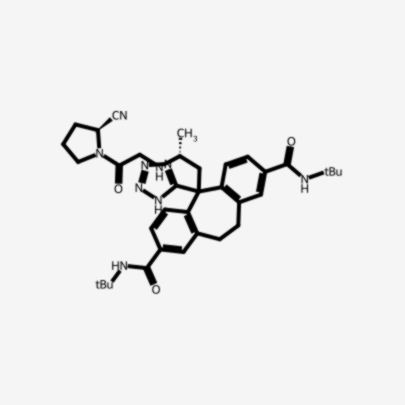 C[C@H](CC1(c2nnn[nH]2)c2ccc(C(=O)NC(C)(C)C)cc2CCc2cc(C(=O)NC(C)(C)C)ccc21)NCC(=O)N1CCC[C@H]1C#N